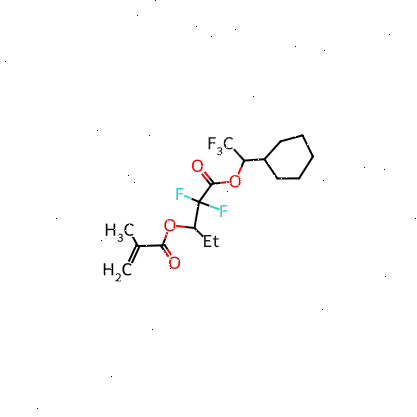 C=C(C)C(=O)OC(CC)C(F)(F)C(=O)OC(C1CCCCC1)C(F)(F)F